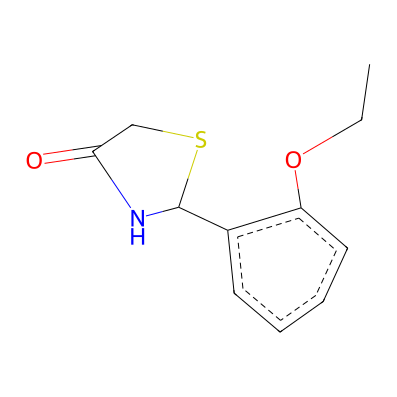 CCOc1ccccc1C1NC(=O)CS1